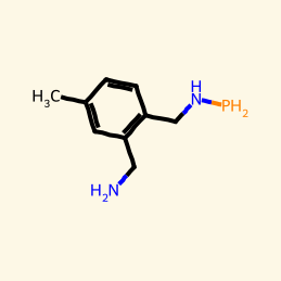 Cc1ccc(CNP)c(CN)c1